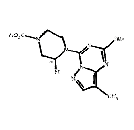 CC[C@H]1CN(C(=O)O)CCN1c1nc(SC)nc2c(C)cnn12